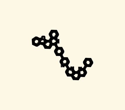 c1ccc(-c2ccc3ccc4ccc(-c5ccc(-c6ccc(-c7nc8ccccc8c8c7ccc7c9ccccc9oc78)cc6)cn5)nc4c3n2)cc1